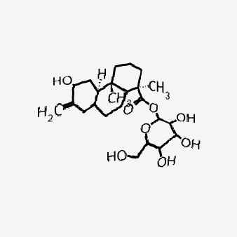 C=C1CC2CCC3[C@](C)(C(=O)OC4OC(CO)C(O)C(O)C4O)CCC[C@@]3(C)[C@@H]2CC1O